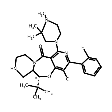 CN1CCN(c2nc(-c3ccccc3F)c(Cl)c3c2C(=O)N2CCNCC2[C@@H](C(C)(C)C)O3)CC1(C)C